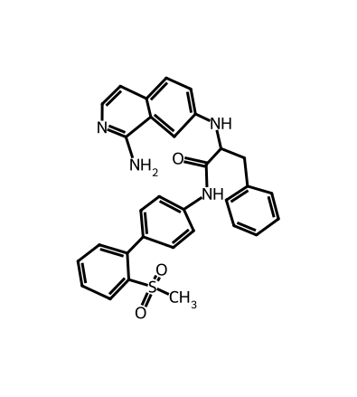 CS(=O)(=O)c1ccccc1-c1ccc(NC(=O)C(Cc2ccccc2)Nc2ccc3ccnc(N)c3c2)cc1